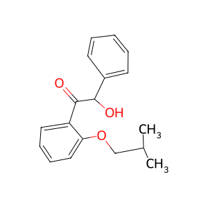 CC(C)COc1ccccc1C(=O)C(O)c1ccccc1